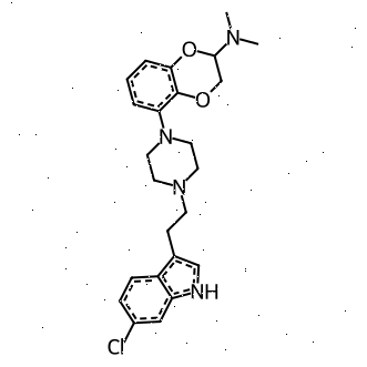 CN(C)C1COc2c(cccc2N2CCN(CCc3c[nH]c4cc(Cl)ccc34)CC2)O1